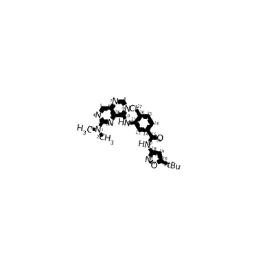 CN(C)c1ncc2ncnc(Nc3cc(C(=O)Nc4cc(C(C)(C)C)on4)ccc3Cl)c2n1